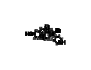 CCC1=C(C2CCNCC2)[C@@]2(C)CC[C@H]3[C@@H]([C@@H](CC)C=C4C[C@@H](O)CC[C@@]43C)[C@@H]2C1